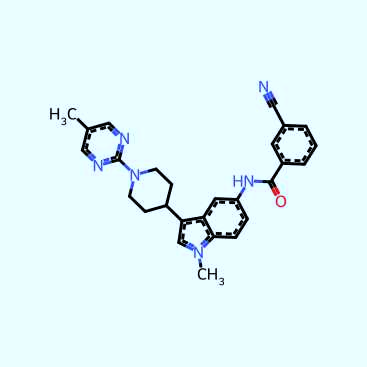 Cc1cnc(N2CCC(c3cn(C)c4ccc(NC(=O)c5cccc(C#N)c5)cc34)CC2)nc1